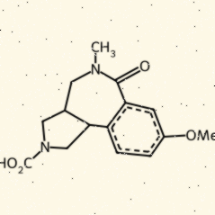 COc1ccc2c(c1)C(=O)N(C)CC1CN(C(=O)O)CC21